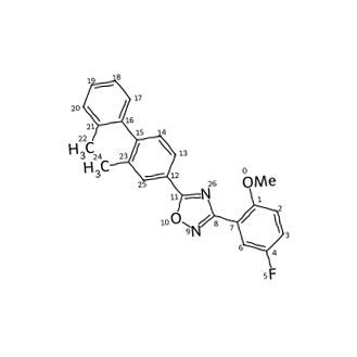 COc1ccc(F)cc1-c1noc(-c2ccc(-c3ccccc3C)c(C)c2)n1